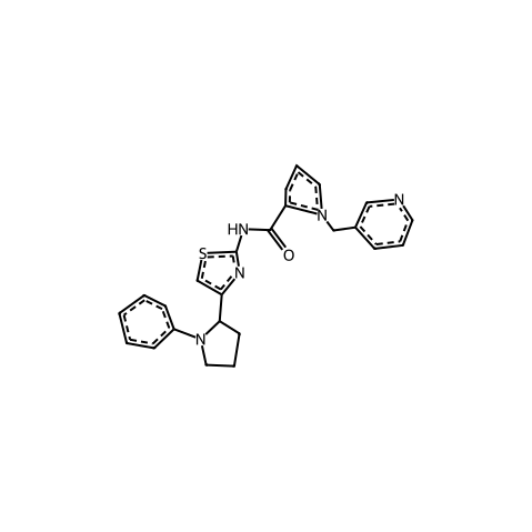 O=C(Nc1nc(C2CCCN2c2ccccc2)cs1)c1cccn1Cc1cccnc1